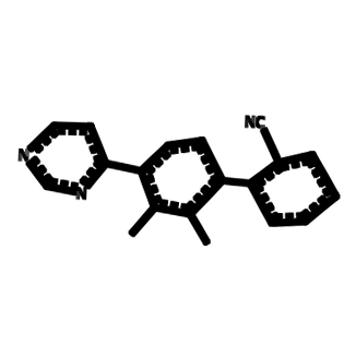 Cc1c(-c2ccncn2)ccc(-c2ccccc2C#N)c1C